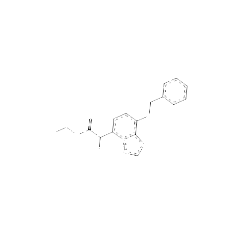 CCOC(=O)C(O)c1ccc(OCc2ccccc2)c2ncnn12